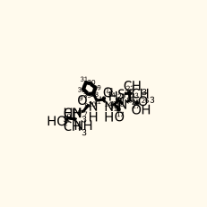 CC(C)(O)C(=N)NCC(=O)NC(C(=O)N[C@@H]1C(=O)N2[C@@H]1SC(C)(C)[C@@H]2C(=O)O)c1ccccc1